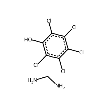 NCN.Oc1c(Cl)c(Cl)c(Cl)c(Cl)c1Cl